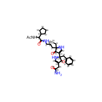 CC(=O)NC(C(=O)NCCCC1(CC(C)C)NC=C(C2(Cc3ccccc3)NC=C(CC(N)=O)C2=O)C1=O)C1CCCC1